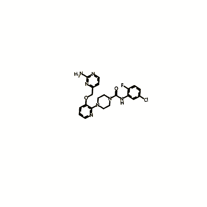 Nc1nccc(COc2cccnc2N2CCN(C(=O)Nc3cc(Cl)ccc3F)CC2)n1